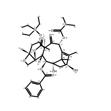 CC[Si](CC)(CC)O[C@H]1C[C@H]2OC[C@@]2(OC(C)=O)[C@H]2[C@H](OC(=O)c3ccccc3)[C@]3(O)C[C@H](O)C(C)=C([C@@H](OC(=O)N(C)C)C(=O)[C@]12C)C3(C)C